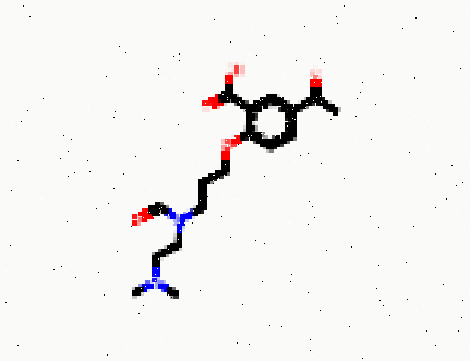 CC(=O)c1ccc(OCCCN(C=O)CCN(C)C)c(C(=O)O)c1